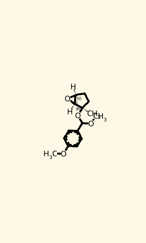 COc1ccc(C(OC)O[C@]2(C)CC[C@@H]3O[C@@H]32)cc1